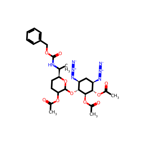 CC(=O)OC1CC[C@@H](C(C)NC(=O)OCc2ccccc2)OC1O[C@H]1[C@H](OC(C)=O)[C@@H](OC(C)=O)[C@H](N=[N+]=[N-])C[C@@H]1N=[N+]=[N-]